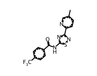 Cc1ccc(-c2nsc(NC(=O)c3ccc(C(F)(F)F)cc3)n2)nc1